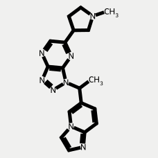 CC(c1ccc2nccn2c1)n1nnc2ncc(C3CCN(C)C3)nc21